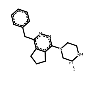 C[C@@H]1CN(c2nnc(Cc3ccccc3)c3c2CCC3)CCN1